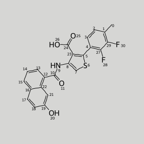 Cc1ccc(-c2scc(NC(=O)c3cccc4ccc(O)cc34)c2C(=O)O)c(F)c1F